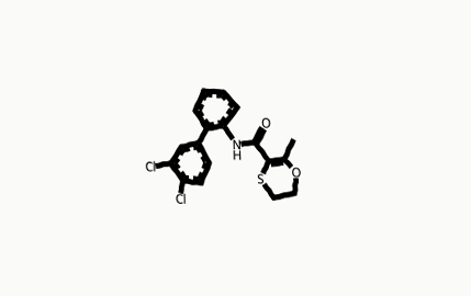 CC1=C(C(=O)Nc2ccccc2-c2ccc(Cl)c(Cl)c2)SCCO1